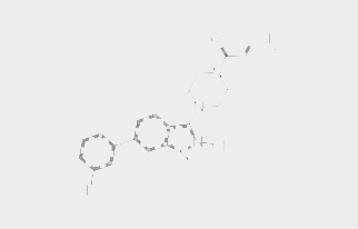 C=CC(=O)N1CCN(c2c3ccc(-c4cccc(F)c4)cc3nn2C)CC1